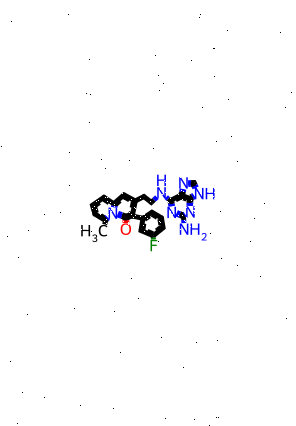 Cc1cccc2cc(CCNc3nc(N)nc4[nH]cnc34)c(-c3cccc(F)c3)c(=O)n12